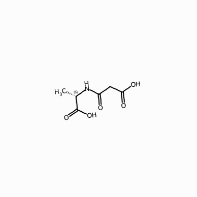 C[C@H](NC(=O)CC(=O)O)C(=O)O